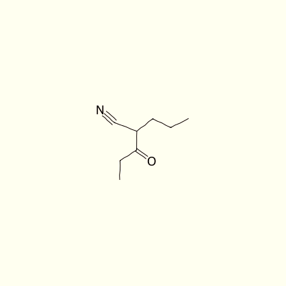 CCCC(C#N)C(=O)CC